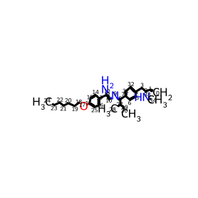 C=CC(Cc1ccc(/C(=N/C=C(\N)c2ccc(OCCCCCCC)cc2)C(C)CC)cc1)NC